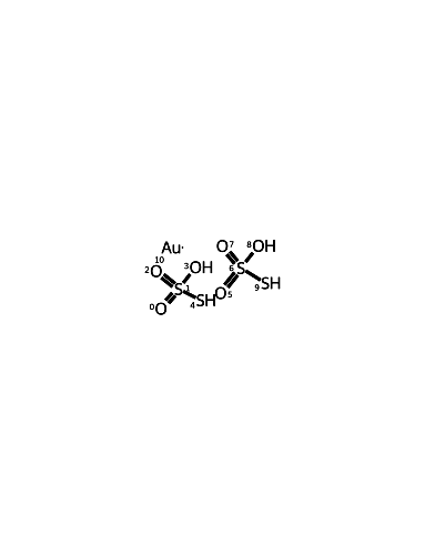 O=S(=O)(O)S.O=S(=O)(O)S.[Au]